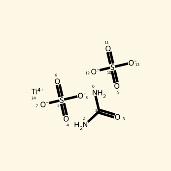 NC(N)=O.O=S(=O)([O-])[O-].O=S(=O)([O-])[O-].[Ti+4]